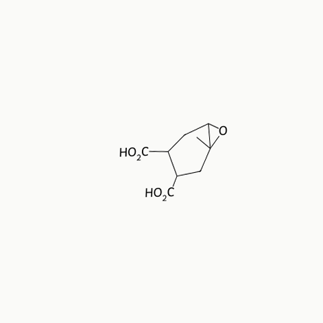 CC12CC(C(=O)O)C(C(=O)O)CC1O2